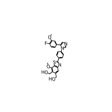 COc1cc(-c2cncn2-c2ccc(-c3nc4cc(CO)c(CO)c(OC)c4s3)cc2)ccc1F